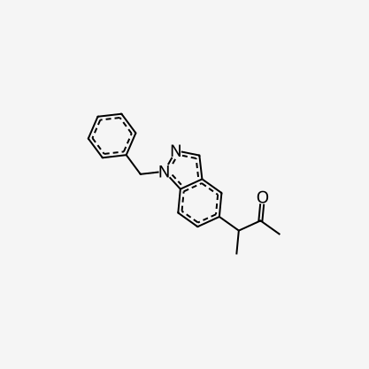 CC(=O)C(C)c1ccc2c(cnn2Cc2ccccc2)c1